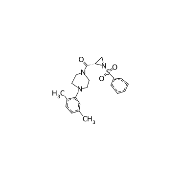 Cc1ccc(C)c(N2CCN(C(=O)[C@@H]3CN3S(=O)(=O)c3ccccc3)CC2)c1